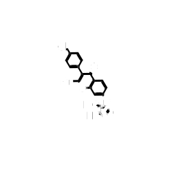 CC(C)c1oc2cc(OP(=O)(O)O)ccc2c(=O)c1-c1ccc(Cl)cc1